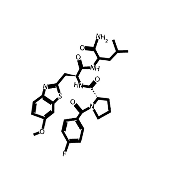 COc1ccc2nc(C[C@H](NC(=O)[C@@H]3CCCN3C(=O)c3ccc(F)cc3)C(=O)NC(CC(C)C)C(N)=O)sc2c1